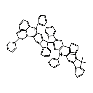 CC1(C)c2ccccc2-c2cc(N(c3ccccc3)c3cc4c(cc3-c3ccccc3)-c3ccccc3C43c4ccccc4-c4cc(-c5cccc(-c6ccccc6)c5)c(N(c5ccccc5)c5ccccc5)cc43)ccc21